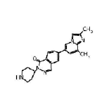 Cc1cn2cc(-c3ccc4c(=O)n(C5CCNCC5)ncc4c3)cc(C)c2n1